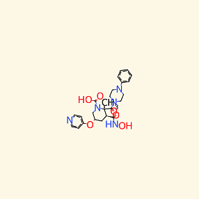 C[C@@]1(C(=O)N2CCN(c3ccccc3)CC2)[C@@H](C(=O)NO)C[C@H](Oc2ccncc2)CN1C(=O)O